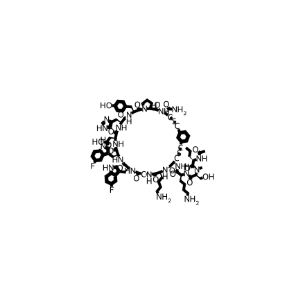 CCC[C@H](NC(C)=O)C(=O)N(C)[C@@H](CO)C(=O)N[C@@H](CCCCN)C(=O)N[C@H]1CSCc2cccc(c2)CSC[C@@H](C(N)=O)NC(=O)[C@@H]2CCCN2C(=O)[C@H](Cc2ccc(O)cc2)NC(=O)[C@H](Cc2c[nH]cn2)NC(=O)[C@H](CC(=O)O)NC(=O)[C@H](Cc2c[nH]c3ccc(F)cc23)NC(=O)[C@H](Cc2c[nH]c3ccc(F)cc23)NC(=O)CNC(=O)[C@H](CCCCN)NC1=O